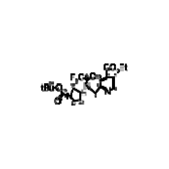 CCOC(=O)c1ccnc(CN(C(=O)C(F)(F)F)[C@@H]2CCN(C(=O)OC(C)(C)C)C2)c1